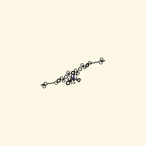 C=CC(=O)OCCCCCCOc1ccc(OC(=O)[C@H]2CC[C@H](C(=O)Oc3ccc(OC(=O)[C@H]4CC[C@H](C(=O)Oc5ccc(OCCCCCCOC(=O)C=C)cc5)CC4)c(/C=N/N(C(=S)Nc4ccccc4)c4nc5ccccc5s4)c3)CC2)cc1